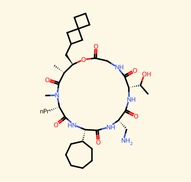 CCC[C@H]1C(=O)N[C@@H](C2CCCCCC2)C(=O)N[C@@H](CN)C(=O)N[C@@H](C(C)O)C(=O)NCC(=O)O[C@H](CC2CC3(CCC3)C2)[C@@H](C)C(=O)N1C